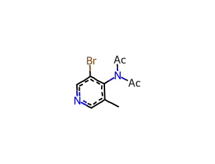 CC(=O)N(C(C)=O)c1c(C)cncc1Br